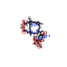 C=C(C1=C(C)c2cc3[nH]c(cc4nc(cc5cc(C)c(cc1n2)[nH]5)C(C)=C4CCC(=O)OC)c(CCC(=O)OC)c3C)c1cn([C@@H]2O[C@H](COC(C)=O)C(OC(C)=O)[C@@H]2OC(C)=O)c(=O)[nH]c1=O